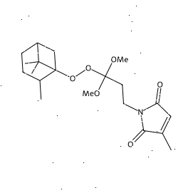 COC(CCN1C(=O)C=C(C)C1=O)(OC)OOC12CC(CCC1C)C2(C)C